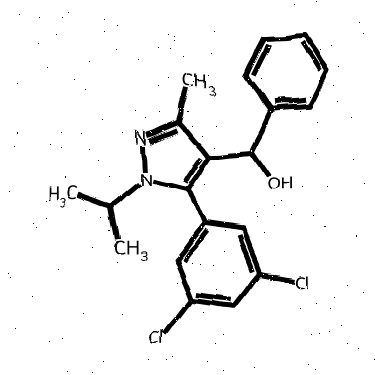 Cc1nn(C(C)C)c(-c2cc(Cl)cc(Cl)c2)c1C(O)c1ccccc1